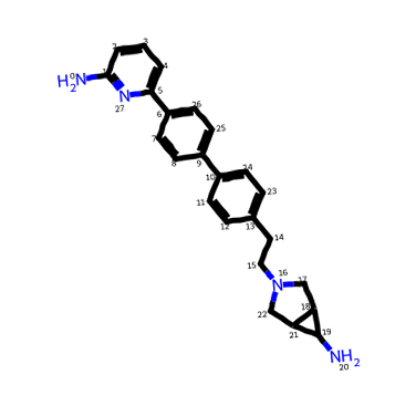 Nc1cccc(-c2ccc(-c3ccc(CCN4CC5C(N)C5C4)cc3)cc2)n1